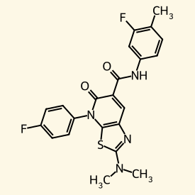 Cc1ccc(NC(=O)c2cc3nc(N(C)C)sc3n(-c3ccc(F)cc3)c2=O)cc1F